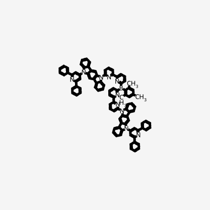 Cc1cc(C)c(B(c2cccc(-c3cccc(-n4c5ccccc5c5cc6c(cc54)c4ccccc4n6-c4cc(-c5ccccc5)nc(-c5ccccc5)c4)n3)n2)c2cccc(-c3cccc(-n4c5ccccc5c5cc6c(cc54)c4ccccc4n6-c4cc(-c5ccccc5)nc(-c5ccccc5)c4)n3)n2)c(C)c1